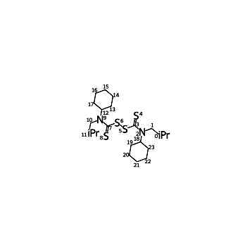 CC(C)CN(C(=S)SSC(=S)N(CC(C)C)C1CCCCC1)C1CCCCC1